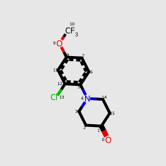 O=C1CCN(c2ccc(OC(F)(F)F)cc2Cl)CC1